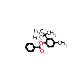 Cc1ccc(OC(=O)c2ccccc2)c(C(C)(C)C)c1